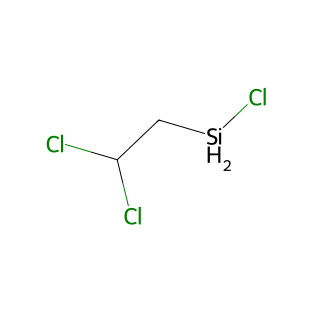 Cl[SiH2]CC(Cl)Cl